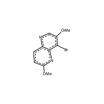 COc1ccc2ncc(OC)c(Br)c2n1